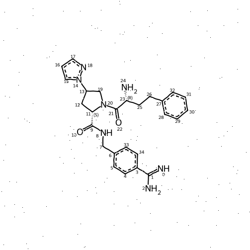 N=C(N)c1ccc(CNC(=O)[C@@H]2CC(n3cccn3)CN2C(=O)[C@H](N)CCc2ccccc2)cc1